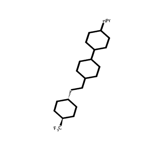 CCCC1CCC(C2CCC(CC[C@H]3CC[C@H](C(F)(F)F)CC3)CC2)CC1